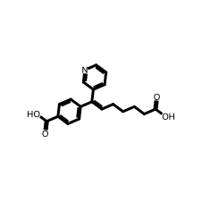 O=C(O)CCCCC=C(c1ccc(C(=O)O)cc1)c1cccnc1